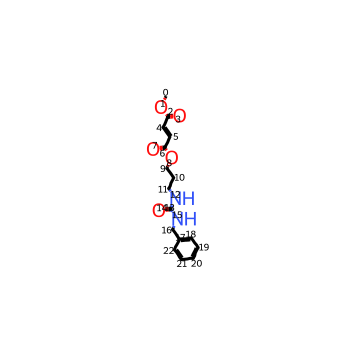 COC(=O)/C=C/C(=O)OCCCNC(=O)NCc1ccccc1